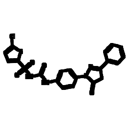 O=C(Nc1ccc(N2N=C(c3ccccc3)CC2=O)cc1)NS(=O)(=O)c1ccc(Cl)s1